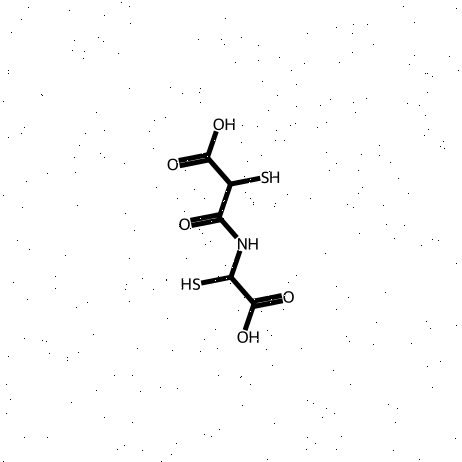 O=C(O)C(S)NC(=O)C(S)C(=O)O